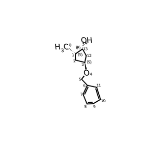 C[C@H]1C[C@H](OCc2ccccc2)C[C@H]1O